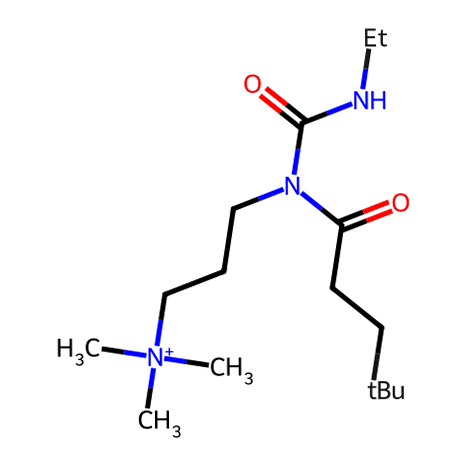 CCNC(=O)N(CCC[N+](C)(C)C)C(=O)CCC(C)(C)C